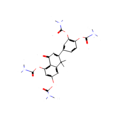 CN(C)C(=O)Oc1cc(OC(=O)N(C)C)c2c(c1)C(C)(C)C(c1ccc(OC(=O)N(C)C)c(OC(=O)N(C)C)c1)=CC2=O